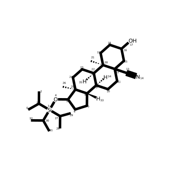 CC(C)[Si](OC1CC[C@H]2[C@@H]3CCC4(C#N)CC(O)CC[C@]4(C)[C@@H]3CC[C@]12C)(C(C)C)C(C)C